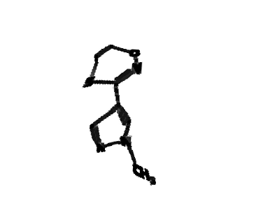 Cn1cc(C2=NOCCS2)cn1